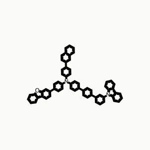 c1cc(-c2ccc(-c3ccc(N(c4ccc(-c5ccc6ccccc6c5)cc4)c4ccc(-c5ccc6c(c5)oc5ccccc56)cc4)cc3)cc2)cc(-n2c3ccccc3c3ccccc32)c1